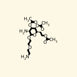 CC(=O)OCC[C@H]1OC(OCCOCCN)[C@H](N)[C@@H](OC(C)=O)[C@H]1OC(C)=O